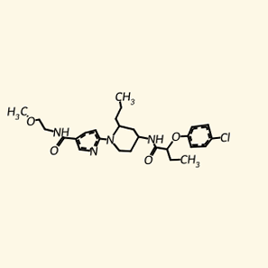 CCCC1CC(NC(=O)C(CC)Oc2ccc(Cl)cc2)CCN1c1ccc(C(=O)NCCOC)cn1